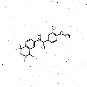 CC(C)Oc1ccc(C(=O)Nc2ccc3c(c2)C(C)N(C)CC3(C)C)cc1Cl